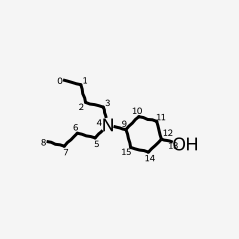 CCCCN(CCCC)C1CCC(O)CC1